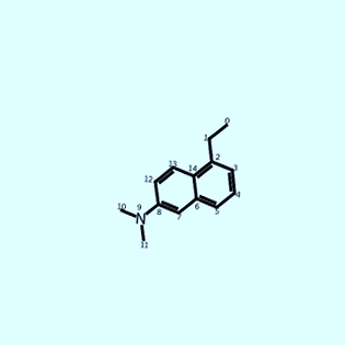 CCc1cccc2cc(N(C)C)ccc12